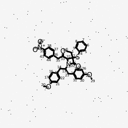 CCC1(Sc2ccccc2)C(=O)N(C(Cc2ccc(OC)cc2)Cc2ccc(OC)cc2)C1C(=O)Cc1ccc([N+](=O)[O-])cc1